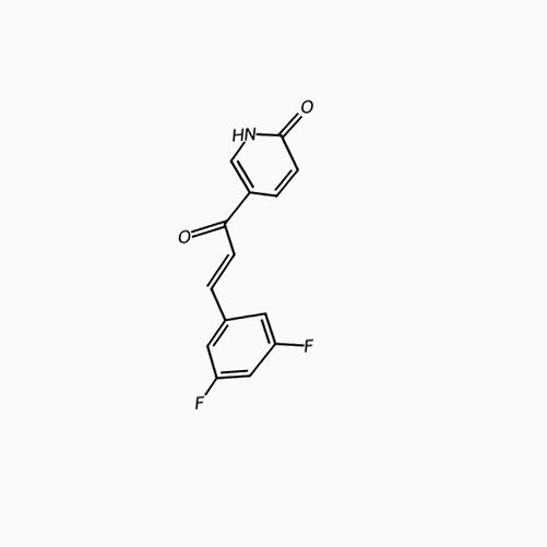 O=C(C=Cc1cc(F)cc(F)c1)c1ccc(=O)[nH]c1